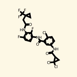 O=C(CC1(C(F)(F)F)CC1)Nc1c(F)ccc(NC(=O)c2cc(NC(=O)C3CC3(Cl)Cl)ccc2Cl)c1F